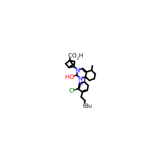 CC1CCC[C@]2(C3C=C(Cl)C(CCC(C)(C)C)=CC3)NC(O)N(C3CC4(C(=O)O)CC3C4)C=C12